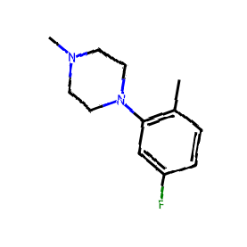 Cc1ccc(F)cc1N1CCN(C)CC1